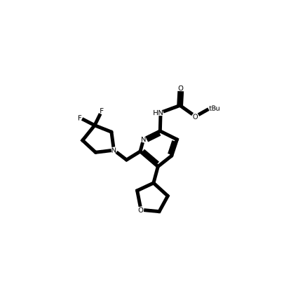 CC(C)(C)OC(=O)Nc1ccc(C2CCOC2)c(CN2CCC(F)(F)C2)n1